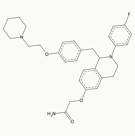 NC(=O)COc1ccc2c(c1)CCN(c1ccc(F)cc1)C2Cc1ccc(OCCN2CCCCC2)cc1